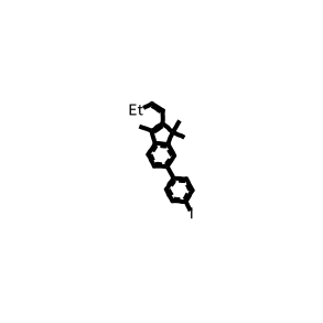 CC/C=C\C1=C(C)c2ccc(-c3ccc(I)cc3)cc2C1(C)C